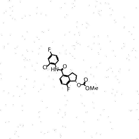 COC(=O)O[C@H]1CCc2c(C(=O)Nc3ccc(F)cc3Cl)ccc(F)c21